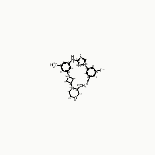 Cc1cc(Nc2ncn(-c3cc(F)cc(F)c3)n2)cc(N2CC(N3CCOCC3C)C2)c1